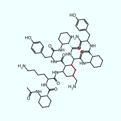 CC(=O)NC1CCCC[C@@H]1C(=O)NC(CCCCN)C(=O)NC1CCCC[C@@H]1C(=O)NC(Cc1ccc(O)cc1)C(=O)NC1CCCC[C@@H]1C(=O)NC(CCCCN)C(=O)NC1CCCC[C@@H]1C(=O)NC(Cc1ccc(O)cc1)C(N)=O